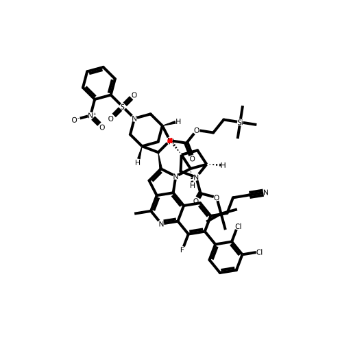 Cc1nc2c(F)c(-c3cccc(Cl)c3Cl)c(CCC#N)cc2c2c1cc([C@H]1[C@H]3C[C@H](CN(S(=O)(=O)c4ccccc4[N+](=O)[O-])C3)N1C(=O)OCC[Si](C)(C)C)n2[C@H]1[C@@H]2C[C@H]1N(C(=O)OC(C)(C)C)C2